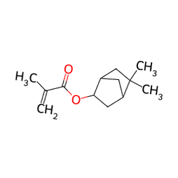 C=C(C)C(=O)OC1CC2CC1CC2(C)C